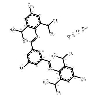 Cc1cc(C=Nc2c(C(C)C)cc(C)cc2C(C)C)nc(C=Nc2c(C(C)C)cc(C)cc2C(C)C)c1.[Cl-].[Cl-].[Cl-].[Co+3]